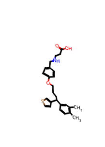 Cc1ccc(C(CCCOc2ccc(CNCCC(=O)O)cc2)c2ccsc2)cc1C